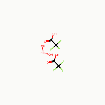 O=C(O)C(F)(F)F.O=C(O)C(F)(F)F.OBO